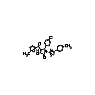 Cc1ccc(-c2csc(N3C(=O)C(O)=C(C(=O)c4ccc(C)o4)C3c3ccc(Cl)cc3)n2)cc1